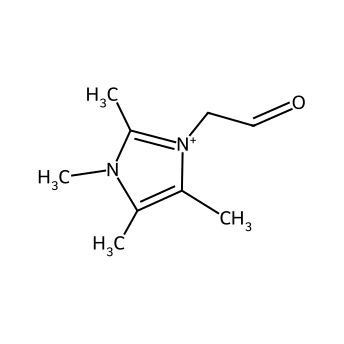 Cc1c(C)[n+](CC=O)c(C)n1C